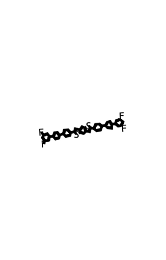 Fc1cc(F)cc(-c2ccc(-c3ccc(-c4cc5cc6sc(-c7ccc(-c8ccc(-c9cc(F)cc(F)c9)cc8)cc7)cc6cc5s4)cc3)cc2)c1